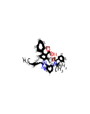 CCCCc1nc2ccc(N(C(=O)c3ccccc3)C(C)C)cc2n1-c1ccc(-c2ccccc2)c(C(=O)O)c1C